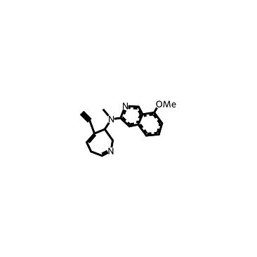 C#CC1=CCC=NCC1N(C)c1cc2cccc(OC)c2cn1